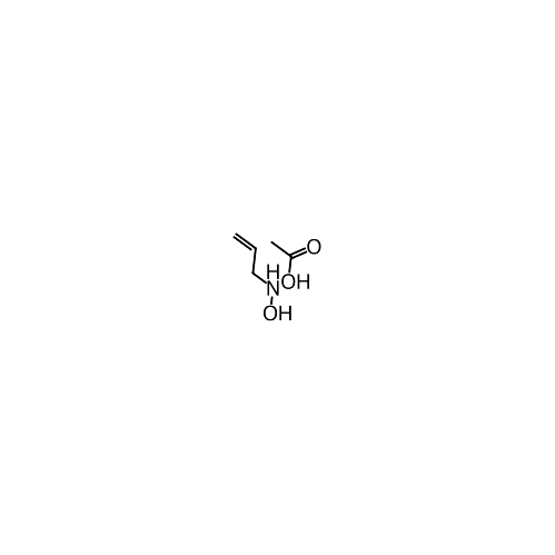 C=CCNO.CC(=O)O